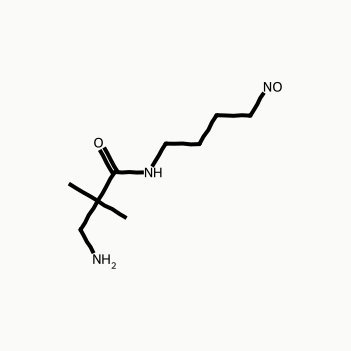 CC(C)(CN)C(=O)NCCCCN=O